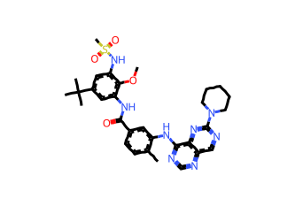 COc1c(NC(=O)c2ccc(C)c(Nc3ncnc4cnc(N5CCCCC5)nc34)c2)cc(C(C)(C)C)cc1NS(C)(=O)=O